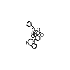 O=C(NC12OCOC1=CC=C(N1CCN=Cc3ccccc31)C2=O)OCc1ccccc1